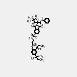 CCC(C)(C)c1ccc(OCCCNS(=O)(=O)c2ccc3c(c2)C(=O)N(C(Cl)(C(=O)Nc2ccccc2)C(=O)C(C)(C)C)C3=O)c(C(C)(C)CC)c1